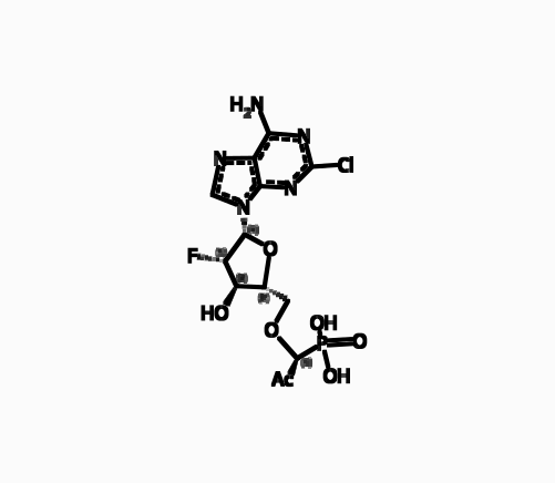 CC(=O)[C@@H](OC[C@H]1O[C@@H](n2cnc3c(N)nc(Cl)nc32)[C@@H](F)[C@@H]1O)P(=O)(O)O